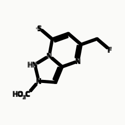 O=C(O)N1C=C2N=C(CF)C=C([S])N2N1